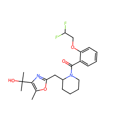 Cc1oc(CC2CCCCN2C(=O)c2ccccc2OCC(F)F)nc1C(C)(C)O